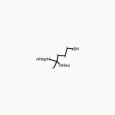 CCCCCCCC(C)(CCCS)CCCCCC